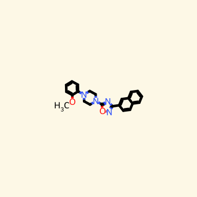 COc1ccccc1N1CCN(c2nc(-c3ccc4ccccc4c3)no2)CC1